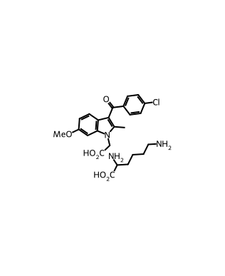 COc1ccc2c(C(=O)c3ccc(Cl)cc3)c(C)n(CC(=O)O)c2c1.NCCCCC(N)C(=O)O